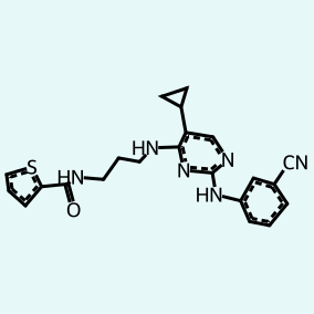 N#Cc1cccc(Nc2ncc(C3CC3)c(NCCCNC(=O)c3cccs3)n2)c1